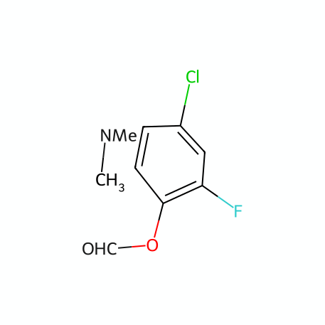 CNC.O=COc1ccc(Cl)cc1F